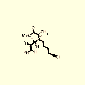 [2H]C([2H])=C([2H])C([2H])([2H])N(CCCCC#C)[C@@H](C)C(=O)OC